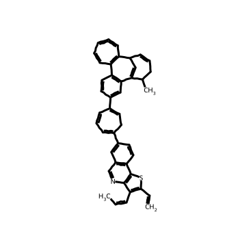 C=Cc1sc2c(ncc3cc(C4=CC=CC(c5ccc6c(c5)C5=CC(C=CCC5C)C5=C6C=CC=C=C5)=CC4)ccc32)c1/C=C\C